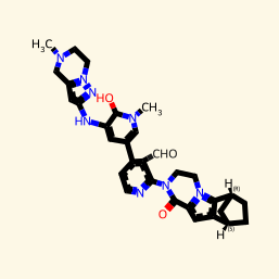 CN1CCn2nc(NC3=CC(c4ccnc(N5CCn6c(cc7c6[C@@H]6CC[C@H]7C6)C5=O)c4C=O)=CN(C)C3O)cc2C1